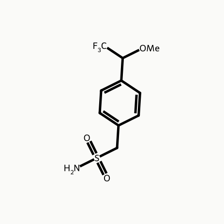 COC(c1ccc(CS(N)(=O)=O)cc1)C(F)(F)F